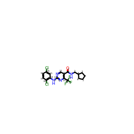 O=C(NCC1CCCC1)c1cnc(Nc2cc(Cl)ccc2Cl)nc1C(F)(F)F